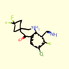 CC1(C(=O)c2cc(Cl)c(F)c(C=N)c2N)CC(F)(F)C1